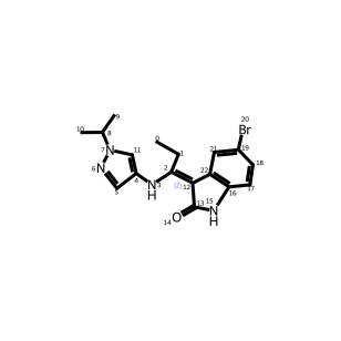 CC/C(Nc1cnn(C(C)C)c1)=C1/C(=O)Nc2ccc(Br)cc21